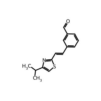 CC(C)c1csc(C=Cc2cccc(C=O)c2)n1